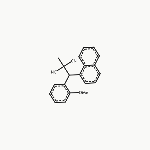 COc1ccccc1C(c1cccc2ccccc12)C(C)(C#N)C#N